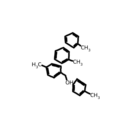 Cc1ccc(CO)cc1.Cc1ccccc1.Cc1ccccc1.Cc1ccccc1